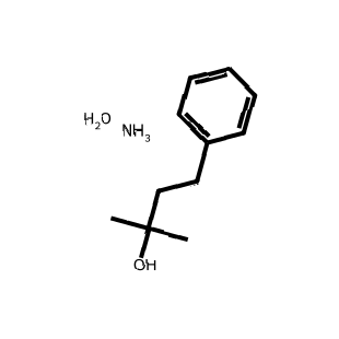 CC(C)(O)CCc1ccccc1.N.O